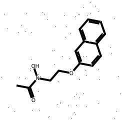 CC(=O)N(O)CCOc1ccc2ccccc2c1